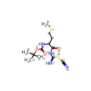 CSCCC(NC(=O)OC(C)(C)C)C(=O)NC(=N)SC#N